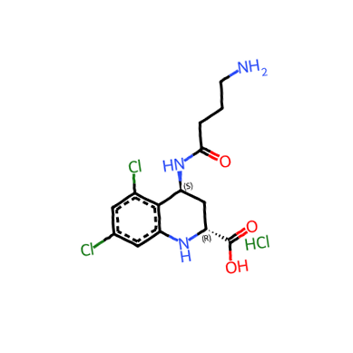 Cl.NCCCC(=O)N[C@H]1C[C@H](C(=O)O)Nc2cc(Cl)cc(Cl)c21